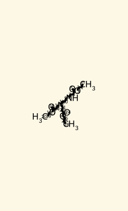 CCCOC(=O)CCNCCCN(CCC(=O)OCCC)CCC(=O)OCCC